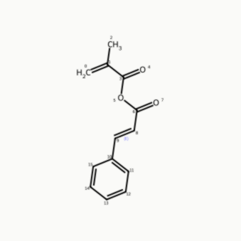 C=C(C)C(=O)OC(=O)/C=C/c1ccccc1